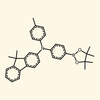 Cc1ccc(N(c2ccc(B3OC(C)(C)C(C)(C)O3)cc2)c2ccc3c(c2)C(C)(C)c2ccccc2-3)cc1